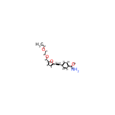 CCOCCOCc1ccc(C#Cc2ccc(C(N)=O)cc2)o1